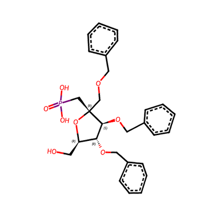 O=P(O)(O)C[C@]1(COCc2ccccc2)O[C@H](CO)[C@@H](OCc2ccccc2)[C@@H]1OCc1ccccc1